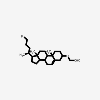 CC(C)CCCC(C)C1CCC2C3CC=C4CC(OCC=O)CCC4(C)C3CCC12C